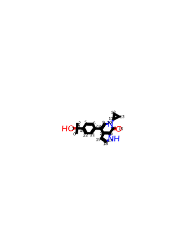 CC(C)(O)c1ccc(-c2cn(C3CC3)c(=O)c3[nH]ccc23)cc1